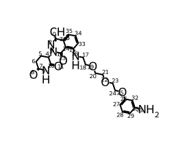 Cc1nn(C2CCC(=O)NC2=O)c(=O)c2c(NCCOCCOCCOc3cccc(N)c3)cccc12